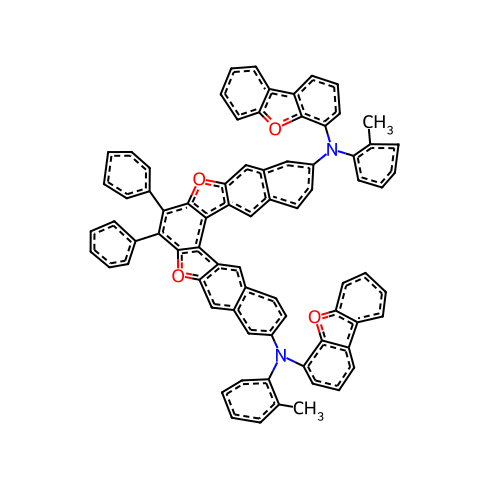 Cc1ccccc1N(c1ccc2cc3c(cc2c1)oc1c(-c2ccccc2)c(-c2ccccc2)c2oc4cc5cc(N(c6ccccc6C)c6cccc7c6oc6ccccc67)ccc5cc4c2c13)c1cccc2c1oc1ccccc12